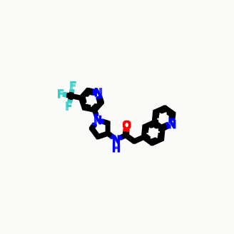 O=C(Cc1ccc2ncccc2c1)NC1CCN(c2cncc(C(F)(F)F)c2)C1